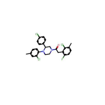 Cc1ccc(N2CCN(C(=O)Cc3c(F)ccc(C)c3Cl)CC2c2ccc(Cl)cc2)c(Cl)c1